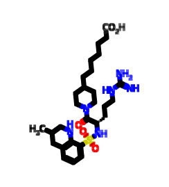 CC1CNc2c(cccc2S(=O)(=O)N[C@@H](CCCNC(=N)N)C(=O)N2CCC(CCCCCCC(=O)O)CC2)C1